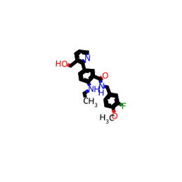 CCNc1ccc(-c2ncccc2CO)cc1C(=O)NCc1ccc(OC)c(F)c1